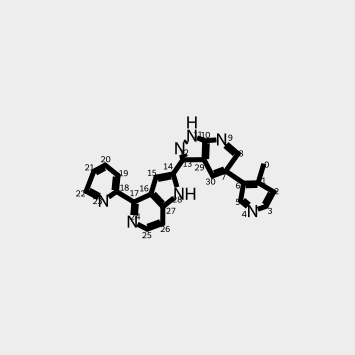 Cc1ccncc1-c1cnc2[nH]nc(-c3cc4c(-c5ccccn5)nccc4[nH]3)c2c1